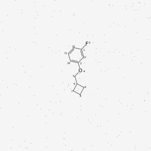 Fc1[c]c(OCC2CCC2)ccc1